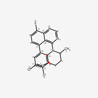 CC1CCC(C(=O)O)CN1c1ncnc2c(F)ccc(-c3ccc(Cl)c(Cl)c3)c12